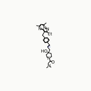 CCc1nn2c(C)cc(C)nc2c1Cc1ccc(/C=C/CC2(O)CCN(C(=O)CN(C)C)CC2)cc1